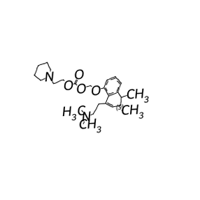 CC1c2cccc(OCOC(=O)OCCN3CCCCC3)c2C(CCN(C)C)=C[C@H]1C